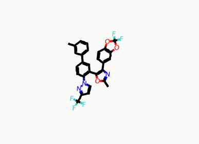 Cc1cccc(-c2ccc(-n3ccc(C(F)(F)F)n3)c(-c3oc(C)nc3-c3ccc4c(c3)OC(F)(F)O4)c2)c1